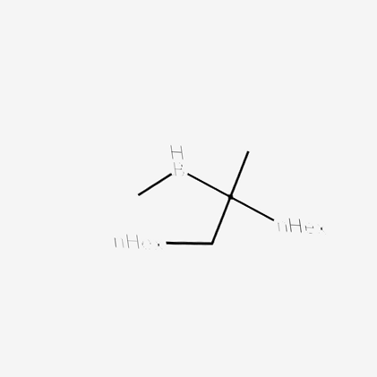 CBC(C)(CCCCCC)CCCCCCC